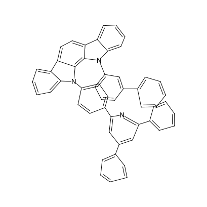 c1ccc(-c2cccc(-n3c4ccccc4c4ccc5c6ccccc6n(-c6ccc(-c7cc(-c8ccccc8)cc(-c8ccccc8)n7)cc6)c5c43)c2)cc1